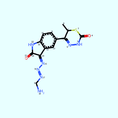 CC1SC(=O)NN=C1c1ccc2c(c1)C(=NN=NCN)C(=O)N2